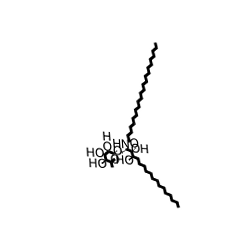 CCCCCCCCCCCCCCCCCCCCCCCC(=O)N[C@@H](CO[C@@H]1OC(C)[C@@H](O)[C@H](O)C1O)[C@H](O)[C@H](O)CCCCCCCCCCCCCC